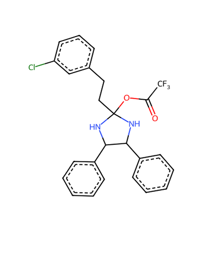 O=C(OC1(CCc2cccc(Cl)c2)NC(c2ccccc2)C(c2ccccc2)N1)C(F)(F)F